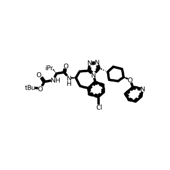 CC(C)[C@@H](NC(=O)OC(C)(C)C)C(=O)N[C@@H]1Cc2cc(Cl)ccc2-n2c(nnc2[C@H]2CC[C@H](Oc3ccccn3)CC2)C1